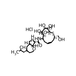 CC(C)C[C@@H]1CCO[C@@H]2[C@H](CN[C@@H]2C(=O)N[C@@H]2CC=CC[C@@H](CO)S[C@H]3O[C@H]2[C@H](O)[C@H](O)[C@H]3O)C1.Cl